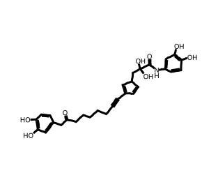 O=C(CCCCCC#CC1=CC(CC(O)(O)C(=O)Nc2ccc(O)c(O)c2)C=C1)Cc1ccc(O)c(O)c1